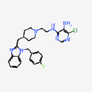 Nc1c(Cl)ncnc1NCCN1CCC(Cc2nc3ccccc3n2Cc2ccc(F)cc2)CC1